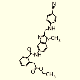 CCOC(=O)Cc1ccccc1C(=O)Nc1ccc2c(c1)nc(CNc1ccc(C#N)cc1)n2C